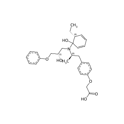 CC[C@@H]1C=CC=CC1(O)N(C[C@H](O)COc1ccccc1)[C@H](C)Cc1ccc(OCC(=O)O)cc1